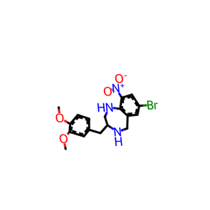 COc1ccc(CC2CNc3c(cc(Br)cc3[N+](=O)[O-])CN2)cc1OC